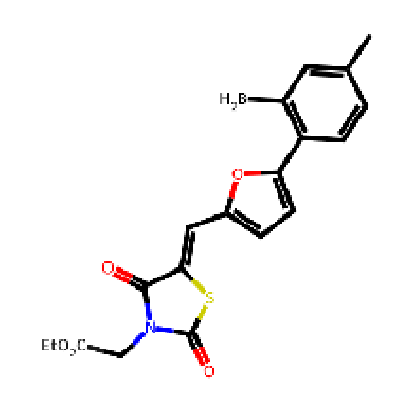 Bc1cc(C)ccc1-c1ccc(/C=C2\SC(=O)N(CC(=O)OCC)C2=O)o1